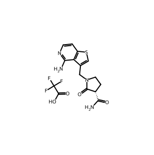 NC(=O)[C@H]1CCN(Cc2csc3ccnc(N)c23)C1=O.O=C(O)C(F)(F)F